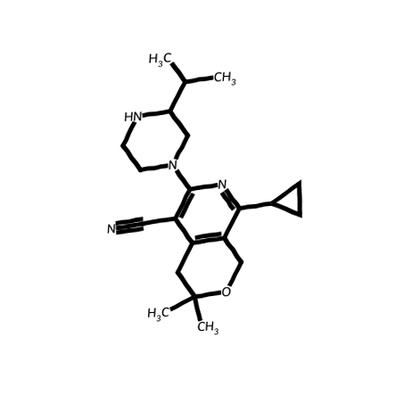 CC(C)C1CN(c2nc(C3CC3)c3c(c2C#N)CC(C)(C)OC3)CCN1